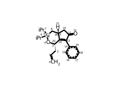 C=CC[C@@H]1O[Si](C(C)C)(C(C)C)C[C@@H]2CC(=O)C(c3ccccc3)=C21